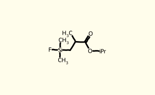 CC(C)OC(=O)C(C)C[Si](C)(C)F